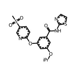 CC(C)Oc1cc(Oc2ccc(S(C)(=O)=O)cn2)cc(C(=O)Nc2nccs2)c1